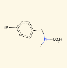 CC(C)c1ccc(CN(C)C(=O)O)cc1